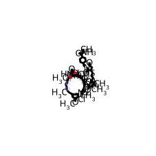 CNC(=O)C1CCC(CN2C(=O)CC(SCCC(=O)N(C)[C@H](C)C(=O)O[C@H]3CC(=O)N(C)c4cc(cc(OC)c4Cl)C/C(C)=C/C=C/[C@@H](C)[C@@]4(O)C[C@H](OC(=O)N4)[C@@H](C)[C@@H]4O[C@@]34C)C2=O)CC1